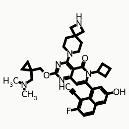 C#Cc1c(F)ccc2cc(O)cc(-c3cc4nc(OCC5(CN(C)C)CC5)nc(N5CCC6(CC5)CNC6)c4c(=O)n3C3CCC3)c12